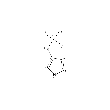 CC(C)(C)SC1=C[N]C=C1